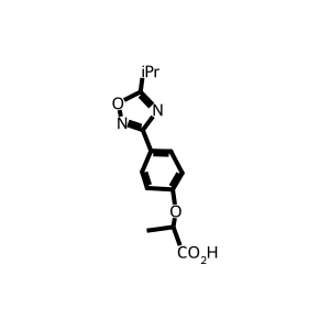 CC(Oc1ccc(-c2noc(C(C)C)n2)cc1)C(=O)O